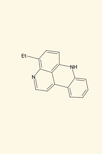 CCc1ccc2c3c(ccnc13)-c1ccccc1N2